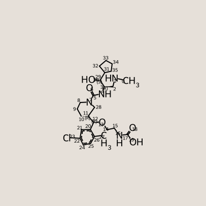 CNC[C@@H](NC(=O)N1CCC[C@@H]([C@@H](OCCNC(=O)O)c2cc(Cl)ccc2C)C1)[C@@H](O)C1CCCC1